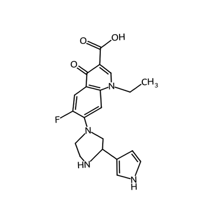 CCn1cc(C(=O)O)c(=O)c2cc(F)c(N3CCNC(c4cc[nH]c4)C3)cc21